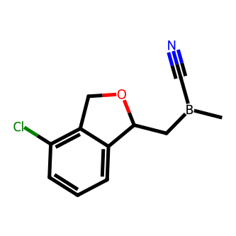 CB(C#N)CC1OCc2c(Cl)cccc21